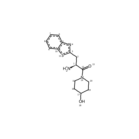 N[C@@H](Cc1nc2ccccc2s1)C(=O)N1CCC(O)CC1